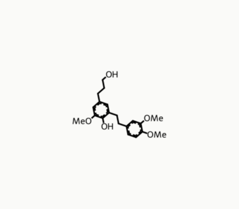 COc1ccc(CCc2cc(CCCO)cc(OC)c2O)cc1OC